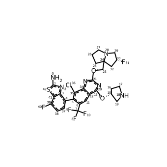 Nc1nc2c(-c3c(C(F)(F)F)cc4c(O[C@@H]5CCNC5)nc(OCC56CCCN5C[C@H](F)C6)nc4c3Cl)ccc(F)c2s1